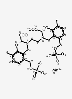 Cc1ncc(COP(=O)([O-])[O-])c(CN(CCN(CC(=O)[O-])Cc2c(COP(=O)([O-])[O-])cnc(C)c2[O-])CC(=O)[O-])c1[O-].[Mn+2]